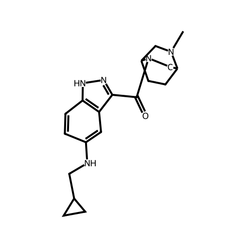 CN1CC2CCC1CN2C(=O)c1n[nH]c2ccc(NCC3CC3)cc12